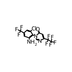 Nc1cc(C(F)(F)F)cc(Cl)c1-n1cnc(C(F)(F)C(F)(F)F)cc1=O